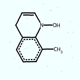 Cc1cccc2c1N(O)C=CC2